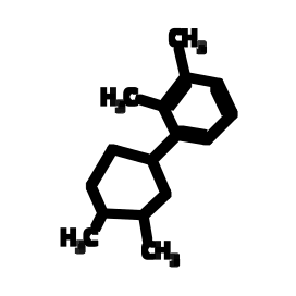 Cc1cccc(C2CCC(C)C(C)C2)c1C